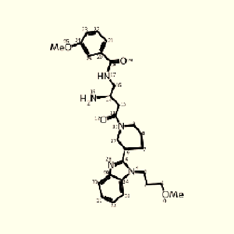 COCCCn1c([C@@H]2CCCN(C(=O)C[C@@H](N)CNC(=O)c3cccc(OC)c3)C2)nc2ccccc21